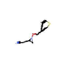 N#CC1CN1OCc1ccsc1